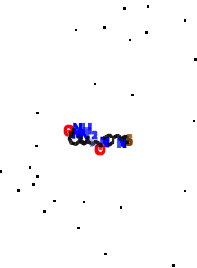 NN1C(=O)CCCc2cc(/C=C/C(=O)N3CCC(=Cc4cscn4)CC3)cnc21